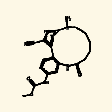 COC(=O)Nc1ccc2c(c1)NC(=O)CCCCC[C@H](N)c1nc-2c(C#N)[nH]1